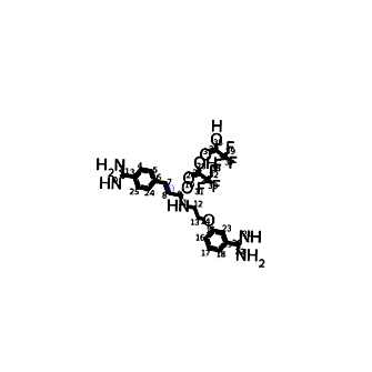 N=C(N)c1ccc(/C=C/C(=O)NCCOc2cccc(C(=N)N)c2)cc1.O=C(O)C(F)(F)F.O=C(O)C(F)(F)F